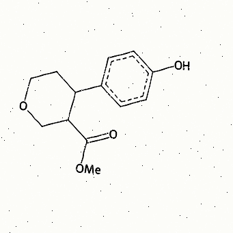 COC(=O)C1COCCC1c1ccc(O)cc1